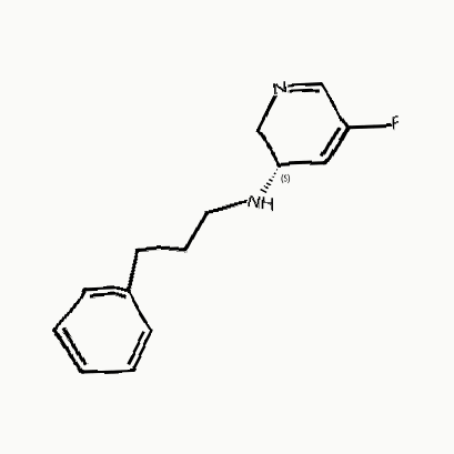 FC1=C[C@H](NCCCc2ccccc2)CN=C1